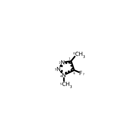 Cc1nnn(C)c1F